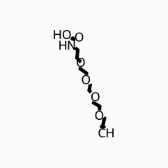 C#CCOCCOCCOCCOCCNC(=O)O